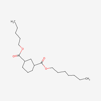 CCCCCCCOC(=O)C1CCCC(C(=O)OCCCCC)C1